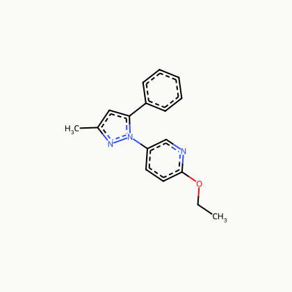 CCOc1ccc(-n2nc(C)cc2-c2ccccc2)cn1